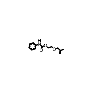 C=C(C)COCCOC(=O)Nc1ccccc1